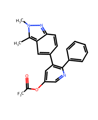 Cc1c2cc(-c3cc(OC(=O)C(F)(F)F)cnc3-c3ccccc3)ccc2nn1C